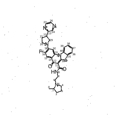 CC1CCCN1CCNC(=O)c1c(=O)c2cc(F)c(N3CCC(c4cnccn4)C3)cc2n2c1sc1ccccc12